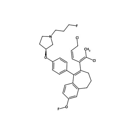 C/C(Cl)=C(\C=C/CCl)C1=C(c2ccc(O[C@H]3CCN(CCCF)C3)cc2)c2ccc(OF)cc2CCC1